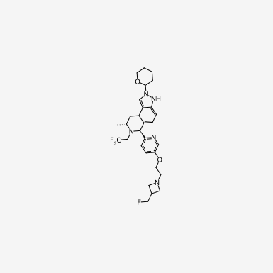 C[C@@H]1CC2C3=CN(C4CCCCO4)NC3=CC=C2[C@@H](c2ccc(OCCN3CC(CF)C3)cn2)N1CC(F)(F)F